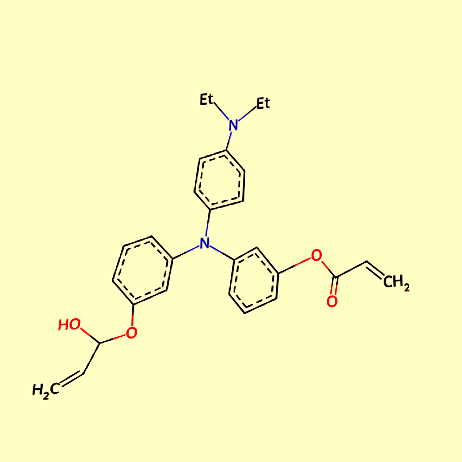 C=CC(=O)Oc1cccc(N(c2ccc(N(CC)CC)cc2)c2cccc(OC(O)C=C)c2)c1